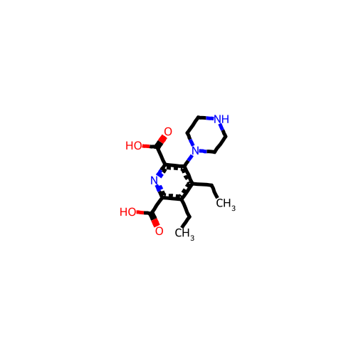 CCc1c(C(=O)O)nc(C(=O)O)c(N2CCNCC2)c1CC